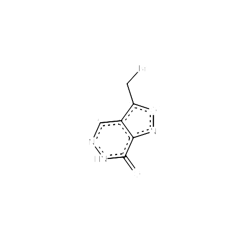 O=c1[nH]ncc2c(CBr)onc12